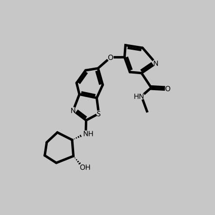 CNC(=O)c1cc(Oc2ccc3nc(N[C@H]4CCCC[C@H]4O)sc3c2)ccn1